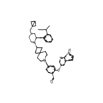 CC(C)c1ccccc1C1CN(CC23CC2C3)CCN1C1CC2(CCN(c3ccc(C=O)c(Oc4cnc5[nH]ccc5c4)c3)CC2)C1